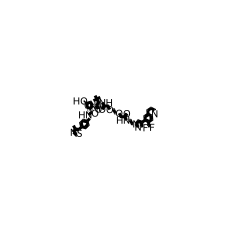 Cc1ncsc1-c1ccc(CNC(=O)[C@@H]2C[C@@H](O)CN2C(=O)[C@@H](NC(=O)COCCOCC(=O)NCCn2cc(-c3cc4c(cc3C(F)F)N=CCC4)cn2)C(C)(C)C)cc1